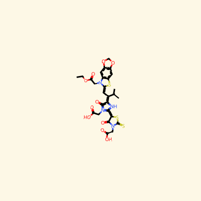 CCOC(=O)CN1/C(=C/C(=c2/[nH]/c(=C3\SC(=S)N(CC(=O)O)C3=O)n(CC(=O)O)c2=O)C(C)C)Sc2cc3c(cc21)OCO3